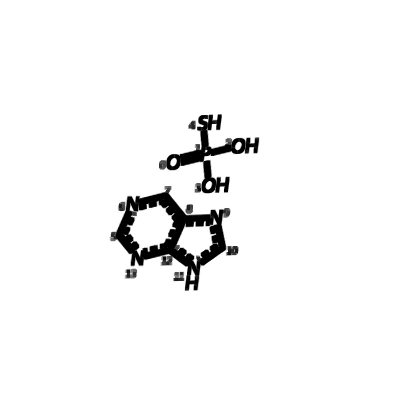 O=P(O)(O)S.c1ncc2nc[nH]c2n1